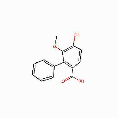 COc1c(O)ccc(C(=O)O)c1-c1ccccc1